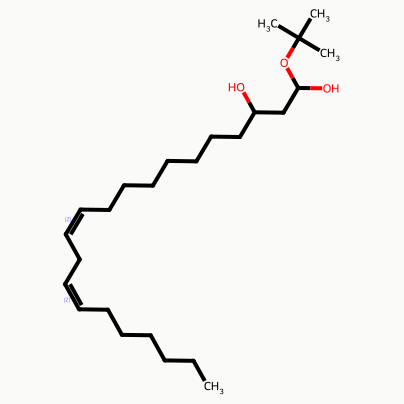 CCCCCC/C=C\C/C=C\CCCCCCCC(O)CC(O)OC(C)(C)C